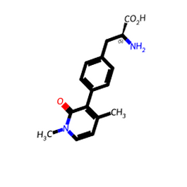 Cc1ccn(C)c(=O)c1-c1ccc(C[C@H](N)C(=O)O)cc1